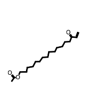 C=CC(=O)CCCCCCCCCCCCCCOC(C)=O